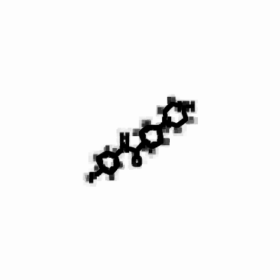 O=C(Nc1ccc(F)cc1)c1ccc(N2CCNCC2)cc1